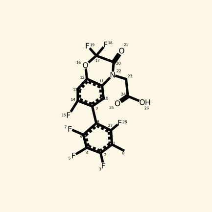 Cc1c(F)c(F)c(F)c(-c2cc3c(cc2F)OC(F)(F)C(=O)N3CC(=O)O)c1F